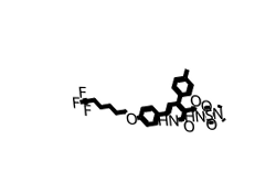 Cc1ccc(-c2cc(-c3ccc(OCCCCCC(F)(F)F)cc3)[nH]c(=O)c2C(=O)NS(=O)(=O)N(C)C)cc1